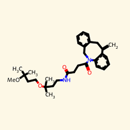 C=C1Cc2ccccc2CN(C(=O)CCC(=O)NCCC(C)(C)OCCC(C)(C)OC)c2ccccc21